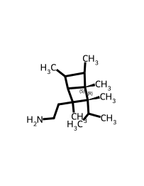 CC1C(C)[C@@]2(C)C1C(C)(CCN)[C@@]2(C)C(C)C